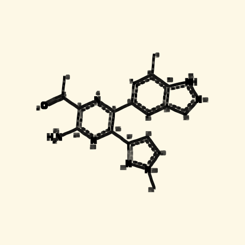 CC(=O)c1nc(-c2cc(C)c3[nH]ncc3c2)c(-c2ccn(C)n2)nc1N